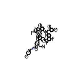 COc1ccc(CN(Cc2ccc(OC)cc2OC)c2ccc3c(F)cc(F)c(C4Cc5nc(OC[C@@]67CCCN6C[C@H](F)C7)nc(N6CCN(C(=O)/C=C/CN7CCC(OC)CC7)[C@@H](CC#N)C6)c5CO4)c3n2)c(OC)c1